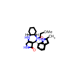 COCC(=O)N1[C@@H]2CCCC[C@H]2NC2=C(C(=O)NC2)[C@H]1c1cccc2cc(C)[nH]c12